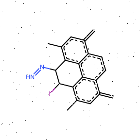 C=c1cc(C)c2c3c1ccc1c(=C)cc(C)c(c13)C(N=N)C2I